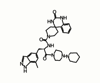 Cc1cc(C[C@@H](NC(=O)N2CCC3(CC2)NC(=O)Nc2ccccc23)C(=O)N2CCN(N3CCCCC3)CC2)cc2cn[nH]c12